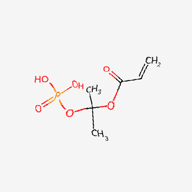 C=CC(=O)OC(C)(C)OP(=O)(O)O